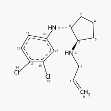 C=CCN[C@@H]1CCC[C@H]1Nc1ccc(Cl)c(Cl)c1